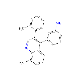 Nc1cccc(-c2c(-c3ccccc3C(F)(F)F)cnc3c(C(F)(F)F)cccc23)c1